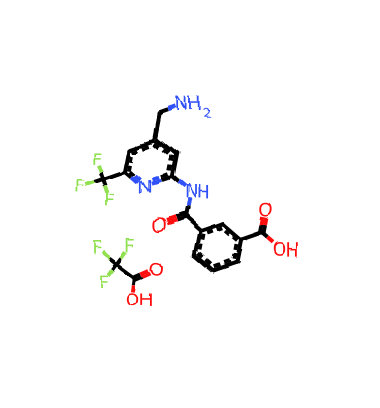 NCc1cc(NC(=O)c2cccc(C(=O)O)c2)nc(C(F)(F)F)c1.O=C(O)C(F)(F)F